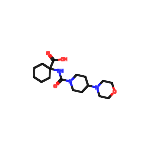 O=C(NC1(C(=O)O)CCCCC1)N1CCC(N2CCOCC2)CC1